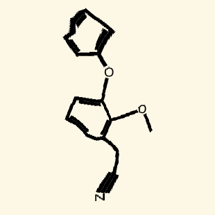 COc1c(CC#N)cccc1Oc1ccccc1